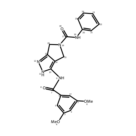 COc1cc(OC)cc(C(=O)Nc2[nH]nc3c2CN(C(=O)Nc2ccccc2)C3)c1